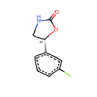 O=C1NC[C@@H](c2cccc(F)c2)O1